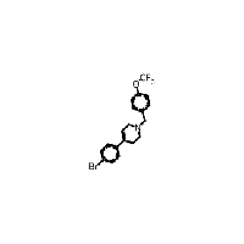 FC(F)(F)Oc1ccc(CN2CC=C(c3ccc(Br)cc3)CC2)cc1